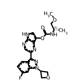 COC[C@H](C)NC(=O)Oc1c[nH]c2ncc(-c3nn(C4COC4)c4cc(F)ccc34)nc12